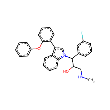 CNCC(O)C(c1cccc(F)c1)n1cc(-c2ccccc2Oc2ccccc2)c2ccccc21